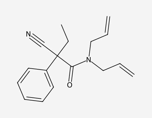 C=CCN(CC=C)C(=O)C(C#N)(CC)c1ccccc1